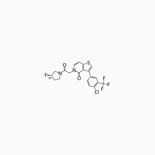 O=C(Cn1ccc2scc(-c3ccc(Cl)c(C(F)(F)F)c3)c2c1=O)N1CC[C@@H](F)C1